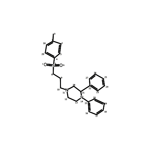 Cc1ccc(S(=O)(=O)CCCN2CCN(c3ccccc3)C(c3ccccc3)C2)cc1